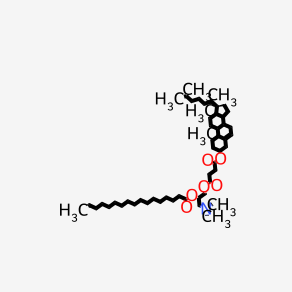 CCCCCCCCCCCCCCCCC(=O)OC(COC(=O)CCC(=O)O[C@H]1CC[C@@]2(C)C(=CCC3C2CC[C@@]2(C)C3CC[C@@H]2[C@H](C)CCCC(C)C)C1)CN(C)C